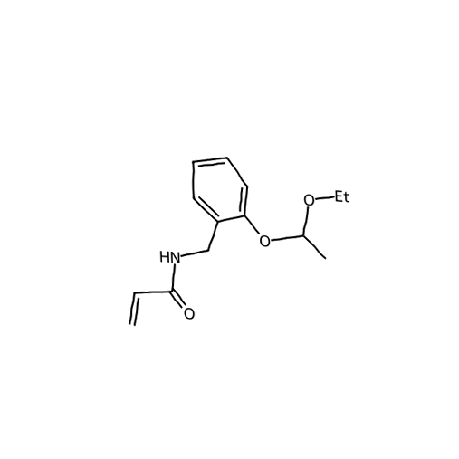 C=CC(=O)NCc1ccccc1OC(C)OCC